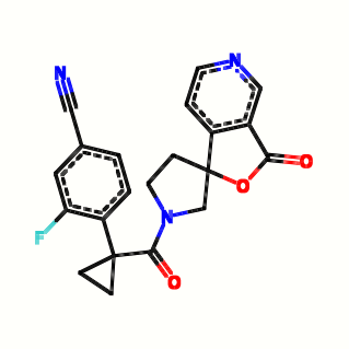 N#Cc1ccc(C2(C(=O)N3CCC4(C3)OC(=O)c3cnccc34)CC2)c(F)c1